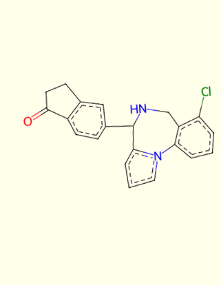 O=C1CCc2cc(C3NCc4c(Cl)cccc4-n4cccc43)ccc21